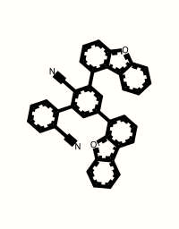 N#Cc1ccccc1-c1cc(-c2cccc3c2oc2ccccc23)cc(-c2cccc3oc4ccccc4c23)c1C#N